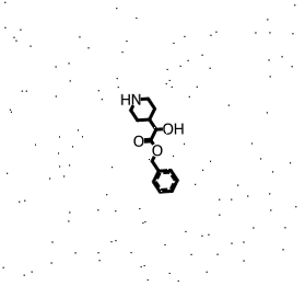 O=C(OCc1ccccc1)C(O)C1CCNCC1